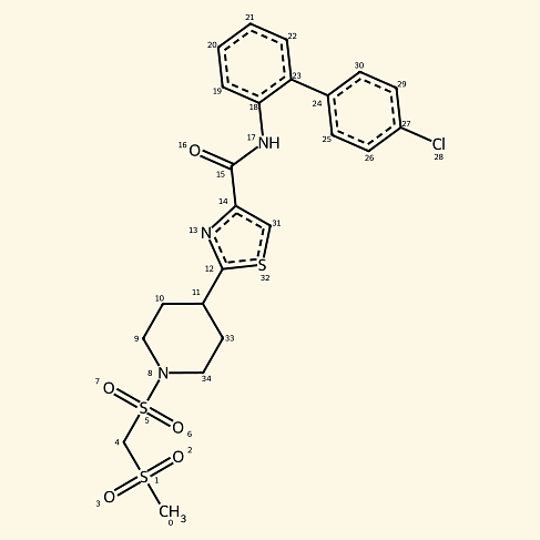 CS(=O)(=O)CS(=O)(=O)N1CCC(c2nc(C(=O)Nc3ccccc3-c3ccc(Cl)cc3)cs2)CC1